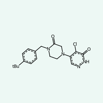 CC(C)(C)c1ccc(CN2CCN(c3cn[nH]c(=O)c3Cl)CC2=O)cc1